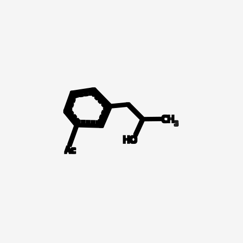 CC(=O)c1cccc(CC(C)O)c1